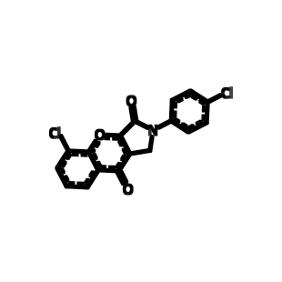 O=C1c2oc3c(Cl)cccc3c(=O)c2CN1c1ccc(Cl)cc1